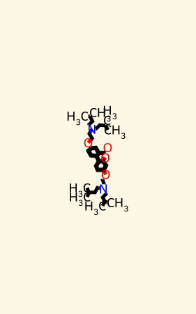 CC(C)CCN(CCOc1ccc2c(c1)oc(=O)c1cc(OCCN(CCC(C)C)CCC(C)C)ccc12)CCC(C)C